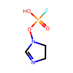 O=P(O)(F)ON1C=NCC1